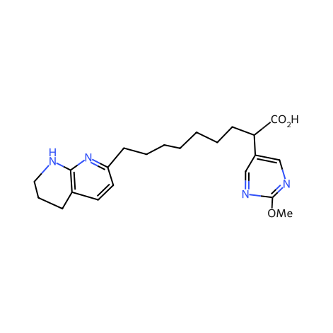 COc1ncc(C(CCCCCCCc2ccc3c(n2)NCCC3)C(=O)O)cn1